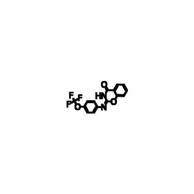 O=c1[nH]/c(=N\c2ccc(OC(F)(F)F)cc2)oc2ccccc12